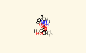 Cc1oc(S(=O)(=O)NC(=O)Nc2c(C(C)C3CC3)ccc3c2CCC3)cc1C(C)(C)O